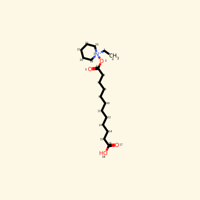 CC[N+]1(OC(=O)CCCCCCCCCCC(=O)O)CCCCC1